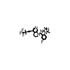 Cc1nnc2nc(N3CCCc4c(C#CC(C)(C)C(F)(F)F)cncc43)c3cc(F)ccc3n12